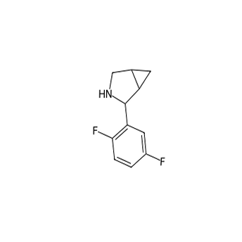 Fc1ccc(F)c(C2NCC3CC32)c1